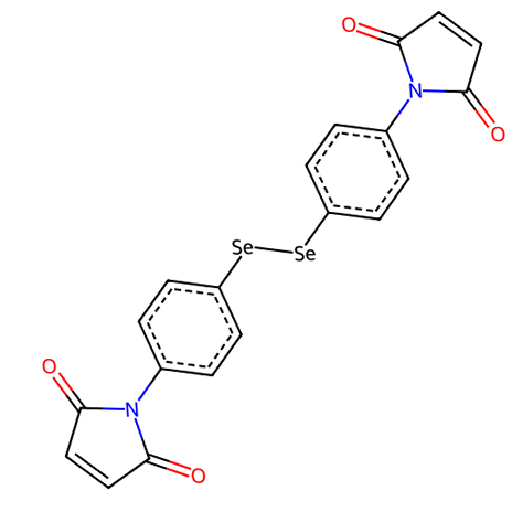 O=C1C=CC(=O)N1c1ccc([Se][Se]c2ccc(N3C(=O)C=CC3=O)cc2)cc1